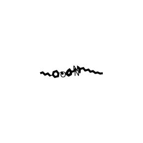 CCCCCCCCCc1cnc(-c2ccc(OC[C@H]3CC[C@H](CCCCC)CC3)cc2)nc1